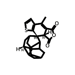 CC1=C2C(=O)OC(=O)[C@@H]2[C@@]2(c3sccc31)C1CC3C4CC5CC3[C@H](C1)C(C5)C42